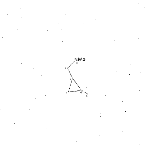 CNCC1CC1C